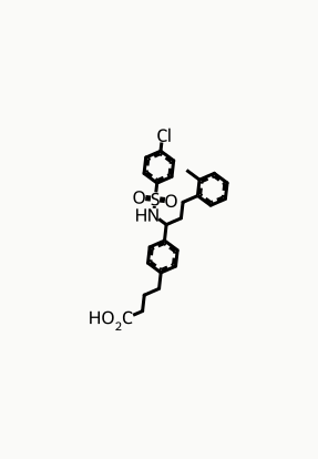 Cc1ccccc1CCC(NS(=O)(=O)c1ccc(Cl)cc1)c1ccc(CCCC(=O)O)cc1